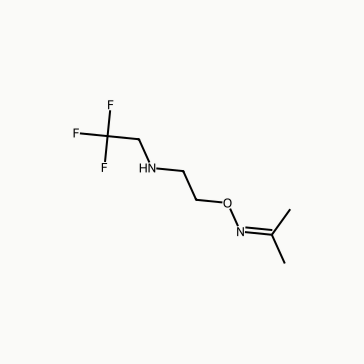 CC(C)=NOCCNCC(F)(F)F